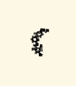 O=C(O)N1CCC(c2cccc(OCc3c(F)cc(Br)cc3F)n2)CC1